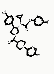 O=C(C1CCN(c2ccc(F)cn2)CC1)N1CC(c2ccc(Cl)cc2)[C@H](N(C(=O)Oc2ccc(F)cc2)C2CC2)C1